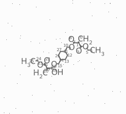 C=C(C(=O)OCC)C(=O)OCC1CCC(COC(O)C(=C)C(=O)OCC)CC1